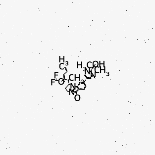 C=C(/C(=C\C=C/C)OC(F)F)[C@@H]1CCn2c(=O)c3ccc(-c4cnc(C(C)(C)O)nc4)cc3n21